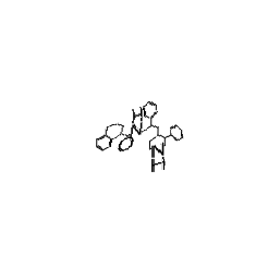 O=C(NCC(CC1CCNCC1c1ccccc1)c1ccccc1)C1CCCc2ccccc21